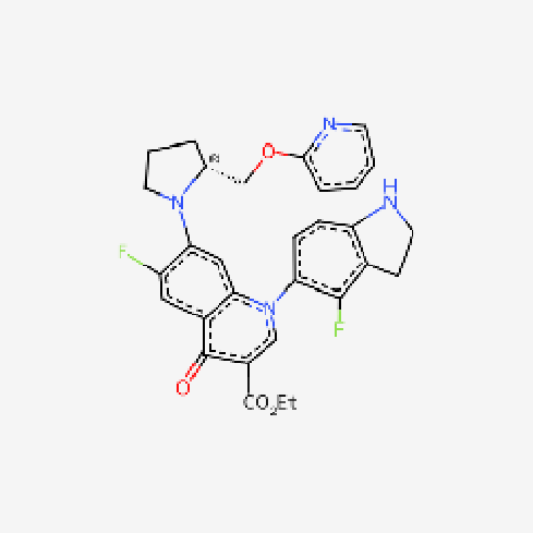 CCOC(=O)c1cn(-c2ccc3c(c2F)CCN3)c2cc(N3CCC[C@@H]3COc3ccccn3)c(F)cc2c1=O